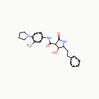 O=C(Nc1ccc(N2CCCC2)c(C(F)(F)F)c1)C1C(=O)NC(CCc2ccccc2)C1O